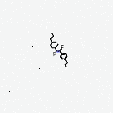 CCCc1ccc(/C(F)=C(\F)C2CCC(CCC)CC2)cc1